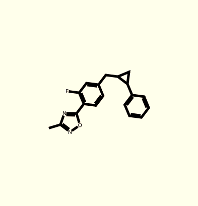 Cc1noc(-c2ccc(CC3CC3c3ccccc3)cc2F)n1